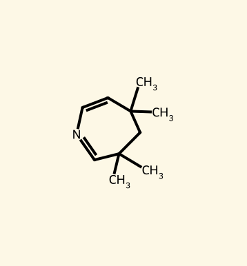 CC1(C)C=CN=CC(C)(C)C1